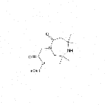 CCCCCCCCOC(=O)CN1CC(C)(C)NC(C)(C)CC1=O